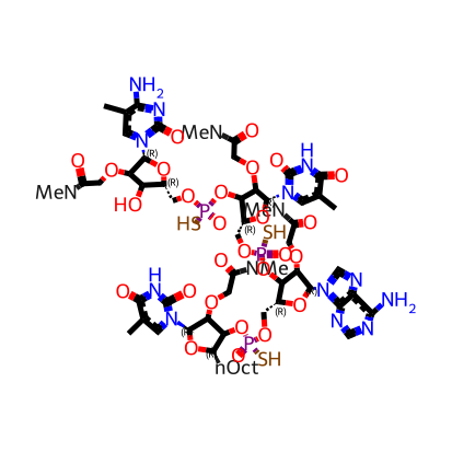 CCCCCCCC[C@H]1O[C@@H](n2cc(C)c(=O)[nH]c2=O)C(OCC(=O)NC)C1OP(=O)(S)OC[C@H]1O[C@@H](n2cnc3c(N)ncnc32)C(OCC(=O)NC)C1OP(=O)(S)OC[C@H]1O[C@@H](n2cc(C)c(=O)[nH]c2=O)C(OCC(=O)NC)C1OP(=O)(S)OC[C@H]1O[C@@H](n2cc(C)c(N)nc2=O)C(OCC(=O)NC)C1O